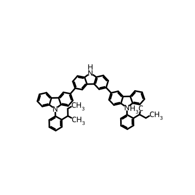 CCC(C)c1ccccc1-n1c2ccccc2c2cc(-c3ccc4[nH]c5ccc(-c6ccc7c(c6)c6ccccc6n7-c6ccccc6C(C)CC)cc5c4c3)ccc21